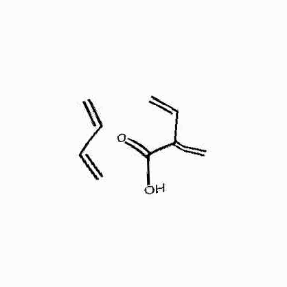 C=CC(=C)C(=O)O.C=CC=C